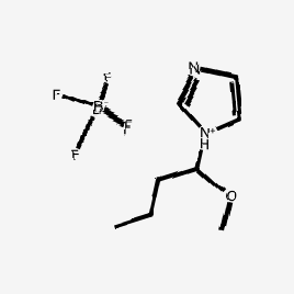 CCCC(OC)[NH+]1C=CN=C1.F[B-](F)(F)F